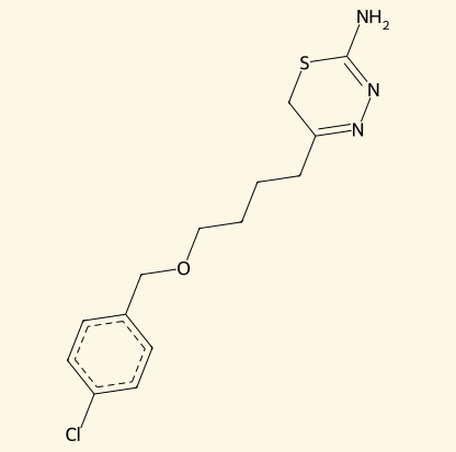 NC1=NN=C(CCCCOCc2ccc(Cl)cc2)CS1